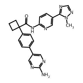 Cn1ncnc1-c1ccc(NC(=O)C2(c3ccc(-c4cnc(N)nc4)cc3)CCC2)nc1